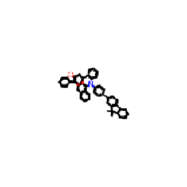 CC1(C)c2ccccc2-c2ccc(-c3ccc(N(c4ccccc4-c4ccc5c(c4)oc4ccccc45)c4cccc5ccccc45)cc3)cc21